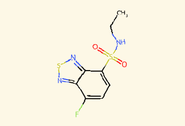 CCNS(=O)(=O)c1ccc(F)c2nsnc12